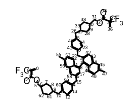 C=C(C(=O)OCC1CCC(Cc2ccc(Cc3cc(-c4c(Cc5ccc(CC6CCC(COC(=O)C(=C)C(F)(F)F)CC6)cc5)ccc5cc(C)ccc45)c4ccc(C)cc4c3)cc2)CC1)C(F)(F)F